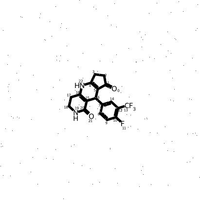 O=C1CCC2=C1C(c1ccc(F)c(C(F)(F)F)c1)C1=C(CCNC1=O)N2